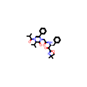 CC(C)C(=O)N1C=C(c2ccccc2)N(CC(=O)N[C@@H](Cc2ccccc2)C(=O)C2=NC(C)(C)CO2)C(=O)C1C(C)C